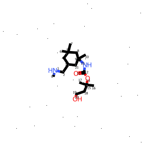 CNCC1CC(C)(C)CC(C)(NC(=O)OC(C)(C)CCO)C1